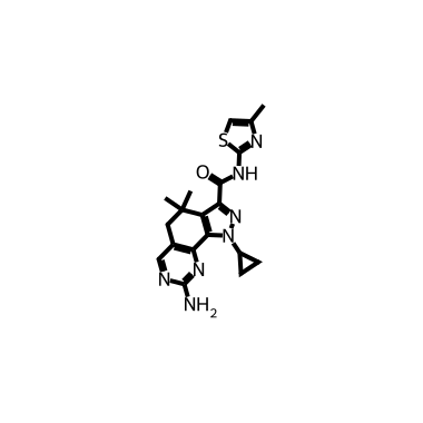 Cc1csc(NC(=O)c2nn(C3CC3)c3c2C(C)(C)Cc2cnc(N)nc2-3)n1